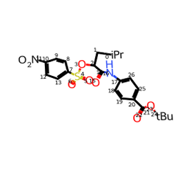 CC(C)CC(OS(=O)(=O)c1ccc([N+](=O)[O-])cc1)C(=O)Nc1ccc(C(=O)OC(C)(C)C)cc1